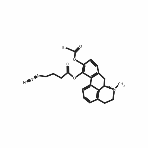 CCC(=O)Oc1ccc2c(c1OC(=O)CCCN=[N+]=[N-])-c1cccc3c1[C@@H](C2)N(C)CC3